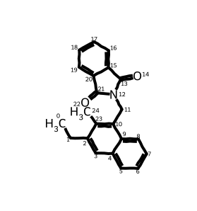 CCc1cc2ccccc2c(CN2C(=O)c3ccccc3C2=O)c1C